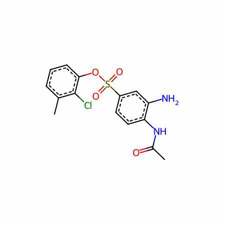 CC(=O)Nc1ccc(S(=O)(=O)Oc2cccc(C)c2Cl)cc1N